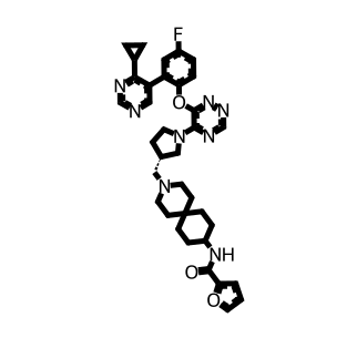 O=C(NC1CCC2(CC1)CCN(C[C@@H]1CCN(c3ncnnc3Oc3ccc(F)cc3-c3cncnc3C3CC3)C1)CC2)c1ccco1